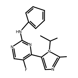 Cc1ncc(-c2nc(Nc3ccccc3)ncc2F)n1C(C)C